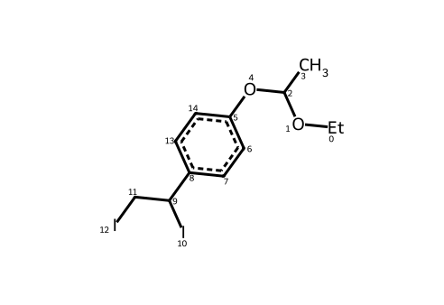 CCOC(C)Oc1ccc(C(I)CI)cc1